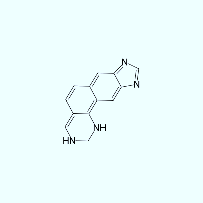 C1=Nc2cc3c4c(ccc3cc2=N1)=CNCN4